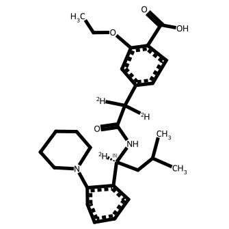 [2H]C([2H])(C(=O)N[C@@]([2H])(CC(C)C)c1ccccc1N1CCCCC1)c1ccc(C(=O)O)c(OCC)c1